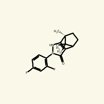 CC1(C)C2CC[C@]1(C)c1[nH]n(-c3ccc(F)cc3F)c(=O)c12